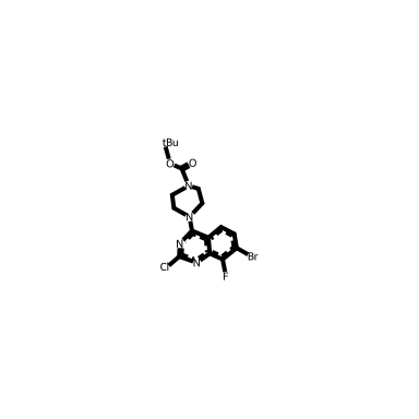 CC(C)(C)OC(=O)N1CCN(c2nc(Cl)nc3c(F)c(Br)ccc23)CC1